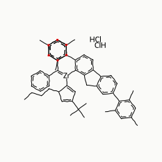 CCCCC1C=C(C(C)(C)C)C=[C]1[Zr](=[C](c1ccccc1)c1ccccc1)[c]1c(-c2c(C)cc(C)cc2C)ccc2c1Cc1cc(-c3c(C)cc(C)cc3C)ccc1-2.Cl.Cl